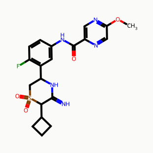 COc1cnc(C(=O)Nc2ccc(F)c(C3CS(=O)(=O)C(C4CCC4)C(=N)N3)c2)cn1